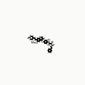 COc1cc2c(Oc3ccc(NC(=O)C(=O)N(C)CCc4ccccc4)cc3F)ccnc2cc1CCC1CCN(C)CC1